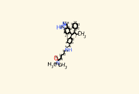 CCC(=C(c1ccc(CCNCCC=CC(=O)N(C)C)cc1)c1ccc2[nH]ncc2c1)c1ccccc1